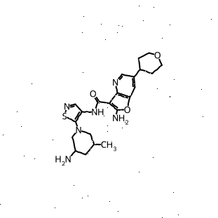 CC1CC(N)CN(c2sncc2NC(=O)c2c(N)oc3cc(C4CCOCC4)cnc23)C1